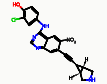 O=[N+]([O-])c1cc2c(Nc3ccc(O)c(Cl)c3)ncnc2cc1C#C[C@H]1[C@H]2CNC[C@@H]12